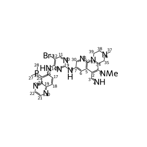 CN/C=C(\C=N)c1cc(Nc2ncc(Br)c(Nc3ccc4nccnc4c3P(C)C)n2)cnc1N1CCN(C)CC1